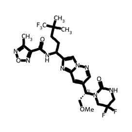 COC[C@H](c1cnn2cc(C(CCC(C)(C)C(F)(F)F)NC(=O)c3nonc3C)nc2c1)N1CC(F)(F)CNC1=O